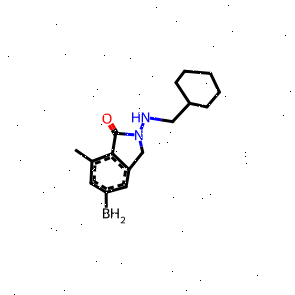 Bc1cc(C)c2c(c1)CN(NCC1CCCCC1)C2=O